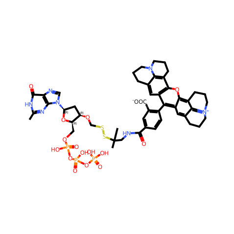 Cc1nc2c(ncn2[C@H]2C[C@@H](OCSSC(C)(C)CNC(=O)c3ccc(C4=c5cc6c7c(c5Oc5c4cc4c8c5CCCN8CCC4)CCC[N+]=7CCC6)c(C(=O)[O-])c3)[C@@H](COP(=O)(O)OP(=O)(O)OP(=O)(O)O)O2)c(=O)[nH]1